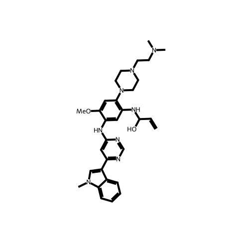 C=CC(O)Nc1cc(Nc2cc(-c3cn(C)c4ccccc34)ncn2)c(OC)cc1N1CCN(CCN(C)C)CC1